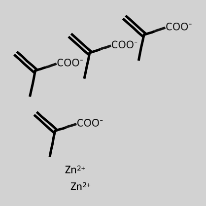 C=C(C)C(=O)[O-].C=C(C)C(=O)[O-].C=C(C)C(=O)[O-].C=C(C)C(=O)[O-].[Zn+2].[Zn+2]